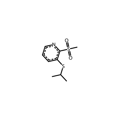 CC(C)Sc1cccnc1S(C)(=O)=O